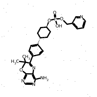 CC1(C)Oc2ncnc(N)c2N=C1c1ccc([C@H]2CC[C@H](OP(=O)(O)OCc3cccnc3)CC2)cc1